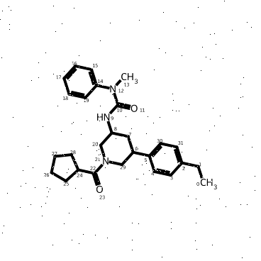 CCc1ccc(C2CC(NC(=O)N(C)c3ccccc3)CN(C(=O)C3CCCC3)C2)cc1